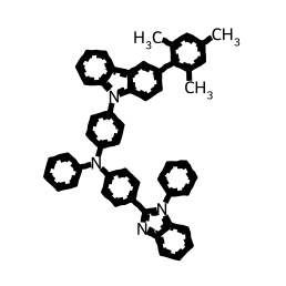 Cc1cc(C)c(-c2ccc3c(c2)c2ccccc2n3-c2ccc(N(c3ccccc3)c3ccc(-c4nc5ccccc5n4-c4ccccc4)cc3)cc2)c(C)c1